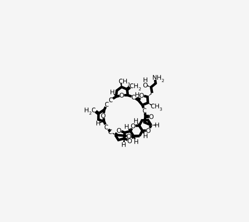 C=C1C[C@@H]2CC[C@@]34C[C@H]5O[C@H]6C(O3)[C@H]3O[C@H](CC[C@@H]3O[C@H]6C5O4)CC(=O)CC3[C@H](CC4O[C@@H](CCC1O2)C[C@@H](C)C4=C)O[C@H](C[C@H](O)CN)[C@@H]3C